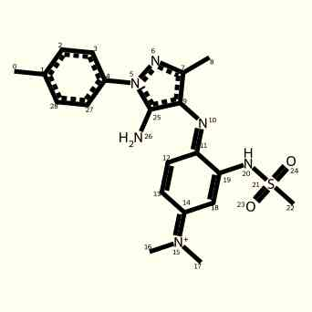 Cc1ccc(-n2nc(C)c(N=C3C=CC(=[N+](C)C)C=C3NS(C)(=O)=O)c2N)cc1